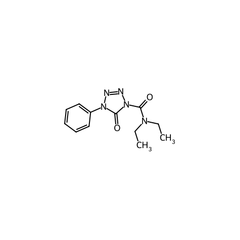 CCN(CC)C(=O)n1nnn(-c2ccccc2)c1=O